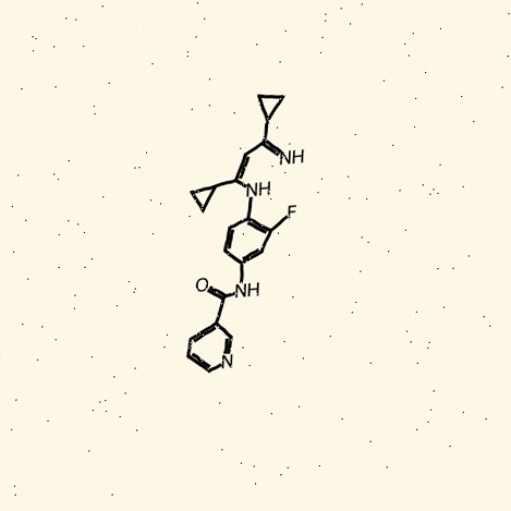 N=C(/C=C(\Nc1ccc(NC(=O)c2cccnc2)cc1F)C1CC1)C1CC1